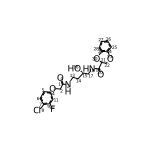 O=C(COc1ccc(Cl)c(F)c1)NCC[C@@H](O)CNC(=O)C1COc2ccccc2O1